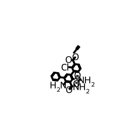 C#CCOC(=O)c1cccc(-c2cc(-c3ccccc3)c(N)c(C(N)=O)c2S(N)(=O)=O)c1Cl